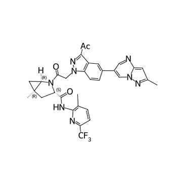 CC(=O)c1nn(CC(=O)N2[C@H](C(=O)Nc3nc(C(F)(F)F)ccc3C)C[C@@]3(C)C[C@@H]23)c2ccc(-c3cnc4cc(C)nn4c3)cc12